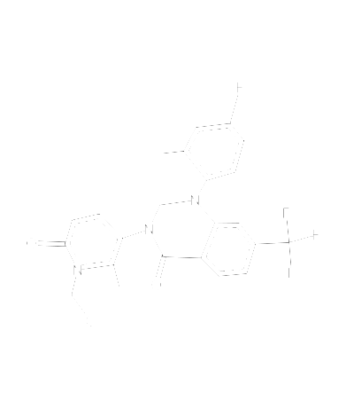 Cc1cc(F)ccc1N1CN(c2ccc(=O)n(CCl)c2C)C(=O)c2ccc(C(F)(F)F)cc21